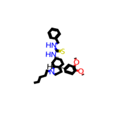 CCCCCN1CC[C@]2(c3ccc(OC)c(OC)c3)CC[C@@H](NC(=S)NCc3ccccc3)C[C@H]12